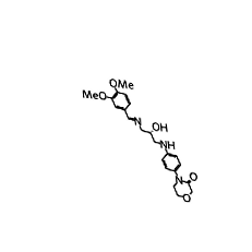 COc1ccc(/C=N/C[C@H](O)CNc2ccc(N3CCOCC3=O)cc2)cc1OC